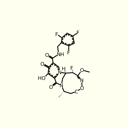 CO/C1=N/OCC[C@H](C)N2C[C@H]([C@@H]1F)n1cc(C(=O)NCc3c(F)cc(F)cc3F)c(=O)c(O)c1C2=O